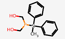 C[Si](c1ccccc1)(c1ccccc1)P(CO)CO